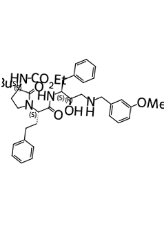 CCOC(=O)N[C@]1([C@@H](C)CC)CCN([C@@H](CCc2ccccc2)C(=O)N[C@@H](Cc2ccccc2)[C@H](O)CNCc2cccc(OC)c2)C1=O